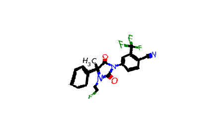 CC1(c2cc[c]cc2)C(=O)N(c2ccc(C#N)c(C(F)(F)F)c2)C(=O)N1CCF